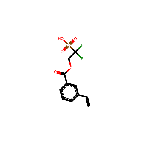 C=Cc1cccc(C(=O)OCC(F)(F)S(=O)(=O)O)c1